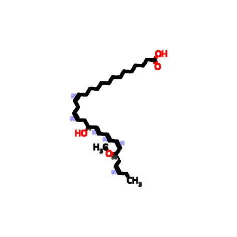 CC/C=C\C[C@@H](\C=C/C=C/C=C/[C@H](O)C/C=C\C/C=C\CCCCCCCCCCCCC(=O)O)OC